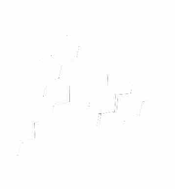 COc1ccc(C(=O)C=Cc2cc(-c3ccccc3C)ccc2OCCN(C)C)c(OC)c1OC